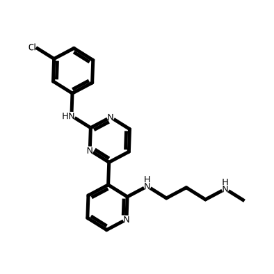 CNCCCNc1ncccc1-c1ccnc(Nc2cccc(Cl)c2)n1